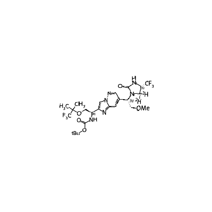 [2H]C1([2H])[C@@H](C(F)(F)F)NC(=O)N1[C@H](COC)c1cnn2cc([C@H](COC(C)(C)C(F)(F)F)NC(=O)OC(C)(C)C)nc2c1